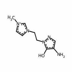 C[n+]1ccn(CCn2ncc(N)c2O)c1